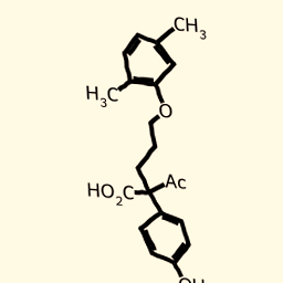 CC(=O)C(CCCOc1cc(C)ccc1C)(C(=O)O)c1ccc(O)cc1